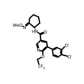 CO/N=C1\CCCC[C@@H]1NC(=O)c1cnc(OCC(F)(F)F)c(-c2ccc(Cl)c(Cl)c2)c1